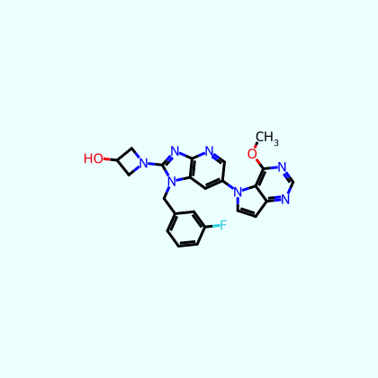 COc1ncnc2ccn(-c3cnc4nc(N5CC(O)C5)n(Cc5cccc(F)c5)c4c3)c12